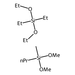 CCC[Si](C)(OC)OC.CCO[Si](CC)(CC)OCC